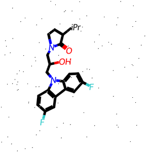 CC(C)C1CCN(CC(O)Cn2c3ccc(F)cc3c3cc(F)ccc32)C1=O